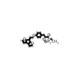 CCOC(=O)C(Cc1ccc(OCC=C2c3occc3-c3ccoc32)cc1)OC